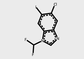 FC(F)n1cnc2cc(Cl)c(I)cc21